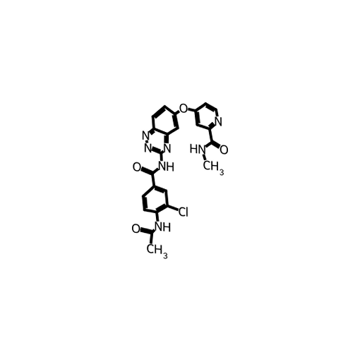 CNC(=O)c1cc(Oc2ccc3nnc(NC(=O)c4ccc(NC(C)=O)c(Cl)c4)nc3c2)ccn1